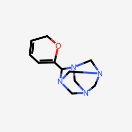 C1=CCOC(C2N3CN4CN(C3)CN2C4)=C1